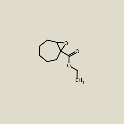 CCOC(=O)C12CCCCCC1O2